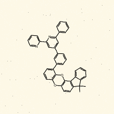 CC1(C)c2ccccc2-c2c1ccc1c2Oc2c(cccc2-c2cccc(-c3cc(-c4ccccc4)nc(-c4ccccn4)c3)c2)O1